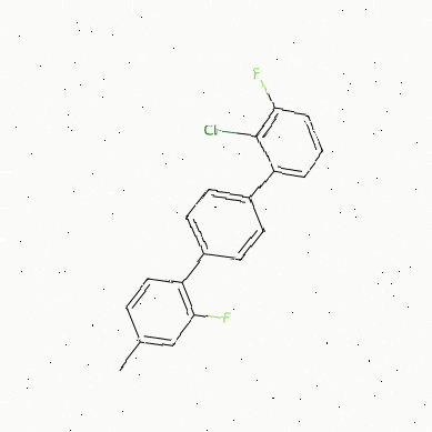 Cc1ccc(-c2ccc(-c3cccc(F)c3Cl)cc2)c(F)c1